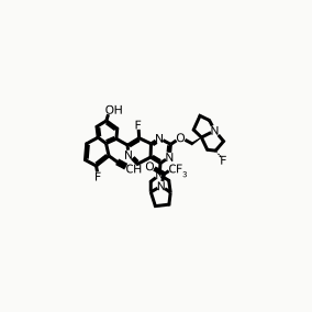 C#Cc1c(F)ccc2cc(O)cc(-c3ncc4c(N5CC6CCC(C5)N6C(=O)C(F)(F)F)nc(OC[C@@]56CCCN5C[C@H](F)C6)nc4c3F)c12